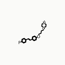 CN1CCN(CCCCOc2ccc(C=Cc3ccc(F)cc3)cc2)CC1